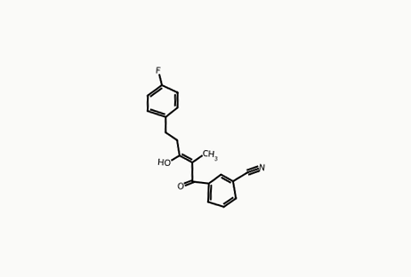 C/C(C(=O)c1cccc(C#N)c1)=C(/O)CCc1ccc(F)cc1